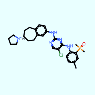 Cc1ccc(Nc2nc(Nc3ccc4c(c3)CC[C@H](N3CCCC3)CC4)ncc2Cl)c(P(C)(C)=O)c1